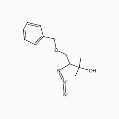 CC(C)(O)C(COCc1ccccc1)N=[N+]=[N-]